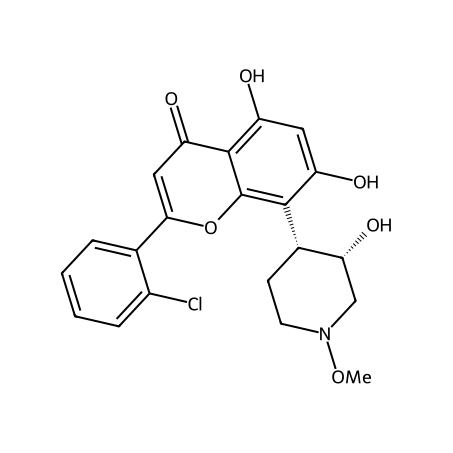 CON1CC[C@H](c2c(O)cc(O)c3c(=O)cc(-c4ccccc4Cl)oc23)[C@H](O)C1